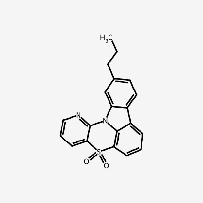 CCCc1ccc2c3cccc4c3n(c2c1)-c1ncccc1S4(=O)=O